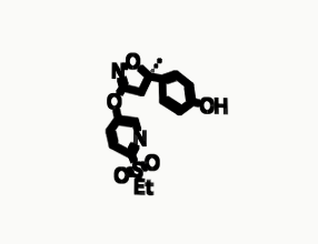 CCS(=O)(=O)c1ccc(OC2=NO[C@@](C)(c3ccc(O)cc3)C2)cn1